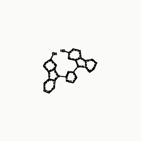 Oc1ccc2c3ccccc3n(-c3cccc(-n4c5ccccc5c5ccc(O)cc54)c3)c2c1